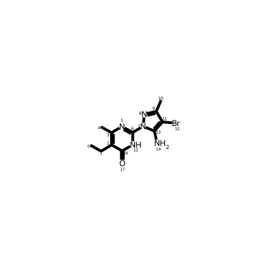 CCc1c(C)nc(-n2nc(C)c(Br)c2N)[nH]c1=O